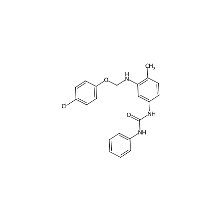 Cc1ccc(NC(=O)Nc2ccccc2)cc1NCOc1ccc(Cl)cc1